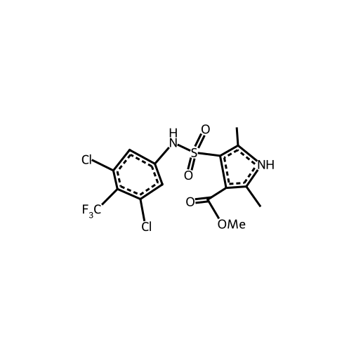 COC(=O)c1c(C)[nH]c(C)c1S(=O)(=O)Nc1cc(Cl)c(C(F)(F)F)c(Cl)c1